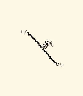 CCCCCCCCCCCCCCCN(CCCCCCCCCCCCCCC)C([O-])=S.NC([O-])=S.[Zn+2]